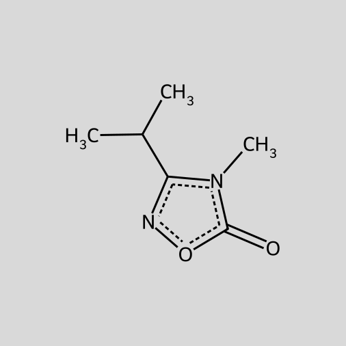 CC(C)c1noc(=O)n1C